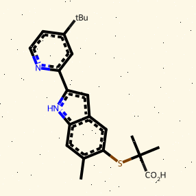 Cc1cc2[nH]c(-c3cc(C(C)(C)C)ccn3)cc2cc1SC(C)(C)C(=O)O